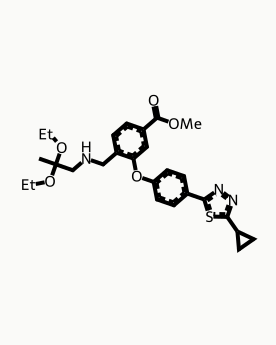 CCOC(C)(CNCc1ccc(C(=O)OC)cc1Oc1ccc(-c2nnc(C3CC3)s2)cc1)OCC